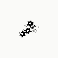 Cc1cc2c(cc1N1c3c(C#N)cccc3N(C)[C@@H]1C)oc1ncccc12